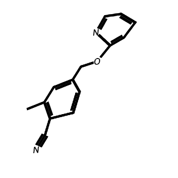 Cc1cc(COc2ccccn2)ccc1C#N